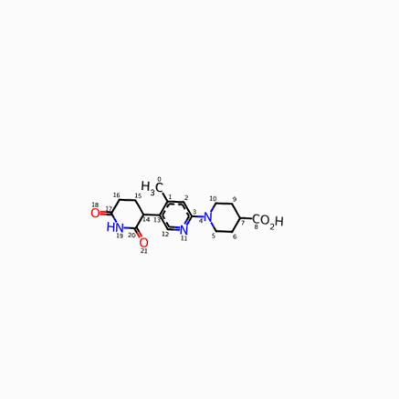 Cc1cc(N2CCC(C(=O)O)CC2)ncc1C1CCC(=O)NC1=O